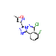 Cc1cc(-c2nnc3c4cccc(F)c4c(Cl)nn23)no1